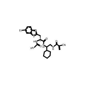 C=C(C#N)C(=O)NCC(NC(=O)[C@H](Cc1nc2ccc(CC)cc2s1)NC(=O)CCC)C1CCCCC1